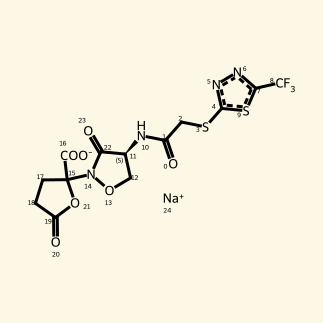 O=C(CSc1nnc(C(F)(F)F)s1)N[C@H]1CON(C2(C(=O)[O-])CCC(=O)O2)C1=O.[Na+]